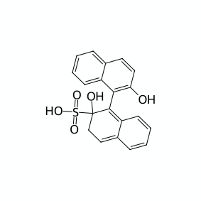 O=S(=O)(O)C1(O)CC=c2ccccc2=C1c1c(O)ccc2ccccc12